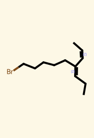 C/C=C\C(=C/CC)CCCCCBr